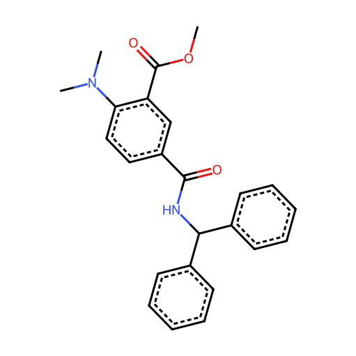 COC(=O)c1cc(C(=O)NC(c2ccccc2)c2ccccc2)ccc1N(C)C